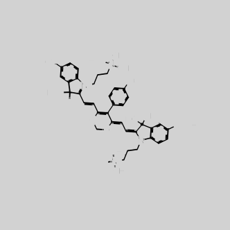 CCc1ccc(C2=C(/C=C/C3=[N+](CCC[N+](C)(C)C)c4ccc(S(=O)(=O)O)cc4C3(C)C)OCO/C2=C\C=C2\N(CCC[N+](C)(C)C)c3ccc(S(=O)(=O)O)cc3C2(C)C)cc1